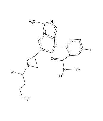 CCN(C(=O)c1cc(F)ccc1-c1cc(C2CN(C(CCC(=O)O)C(C)C)C2)cn2c(C)ncc12)C(C)C